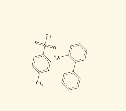 Cc1ccc(S(=O)(O)=S)cc1.Cc1ccccc1-c1ccccc1